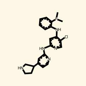 CP(C)c1ccccc1Nc1cc(Nc2cc(C3CCNC3)ccn2)ncc1Cl